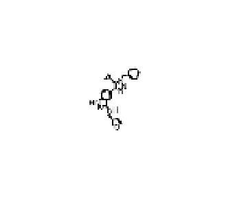 c1ccc(Cn2nnc(-c3ccc4[nH]nc(NCc5ccoc5)c4c3)c2C2CC2)cc1